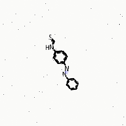 S=CNc1ccc(/N=N/c2ccccc2)cc1